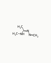 C=NN=C(C)NC